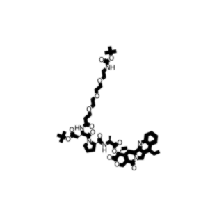 CCc1c2c(nc3ccccc13)-c1cc3c(c(=O)n1C2)COC(=O)[C@@]3(CC)OC(=O)[C@H](C)NC(=O)[C@@H]1CCCN1C(=O)[C@H](CC(=O)OC(C)(C)C)NC(=O)CCOCCOCCOCCNC(=O)OC(C)(C)C